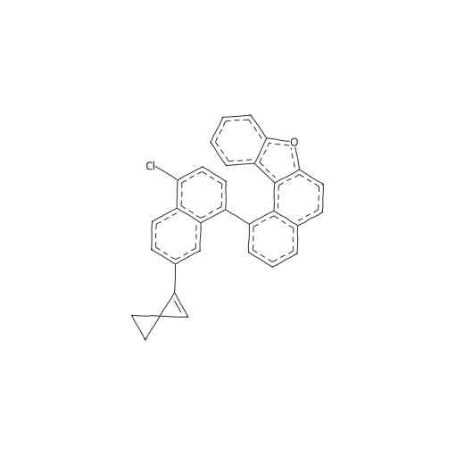 Clc1ccc(-c2cccc3ccc4oc5ccccc5c4c23)c2cc(C3=CC34CC4)ccc12